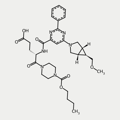 CCCCOC(=O)N1CCN(C(=O)[C@H](CCC(=O)O)NC(=O)c2cc(N3C[C@@H]4[C@@H](COC)[C@@H]4C3)nc(-c3ccccc3)n2)CC1